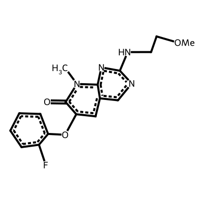 COCCNc1ncc2cc(Oc3ccccc3F)c(=O)n(C)c2n1